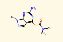 CCC(C)n1ncc2c(OC(=O)N(C)C)nc(N)nc21